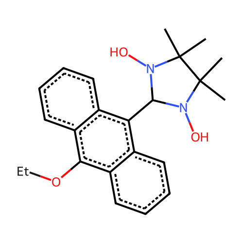 CCOc1c2ccccc2c(C2N(O)C(C)(C)C(C)(C)N2O)c2ccccc12